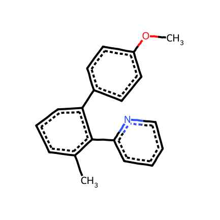 COc1ccc(-c2cccc(C)c2-c2ccccn2)cc1